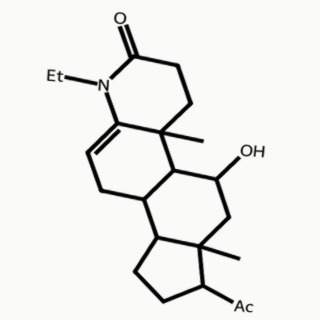 CCN1C(=O)CCC2(C)C1=CCC1C2C(O)CC2(C)C(C(C)=O)CCC12